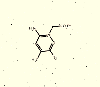 CCOC(=O)C[n+]1nc(Cl)c(C)cc1N